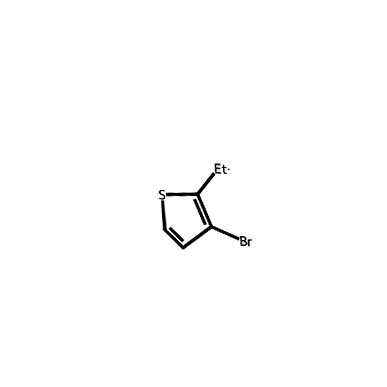 C[CH]c1sccc1Br